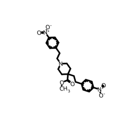 COC(=O)C1(CCc2ccc([N+](=O)[O-])cc2)CCN(CCc2ccc([N+](=O)[O-])cc2)CC1